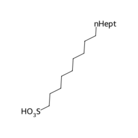 [CH2]CCCCCCCCCCCCCCCS(=O)(=O)O